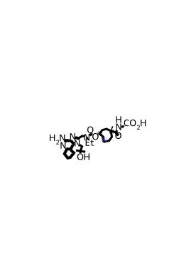 CCN(Cc1nc2c(N)nc3ccccc3c2n1CC(C)(C)O)C(=O)O[C@H]1/C=C/CC[C@@](C)(C(=O)NCC(=O)O)CC1